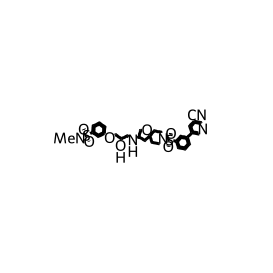 CNS(=O)(=O)c1cccc(OCC(O)CNC2COC3(CCN(S(=O)(=O)c4cccc(-c5cncc(C#N)c5)c4)CC3)C2)c1